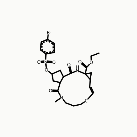 CCOC(=O)C12CC1/C=C/CCCCN(C)C(=O)C1CC(OS(=O)(=O)c3ccc(Br)cc3)CC1C(=O)N2